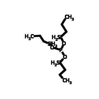 CCC[SiH2]OP(O[SiH2]CCC)O[SiH2]CCC